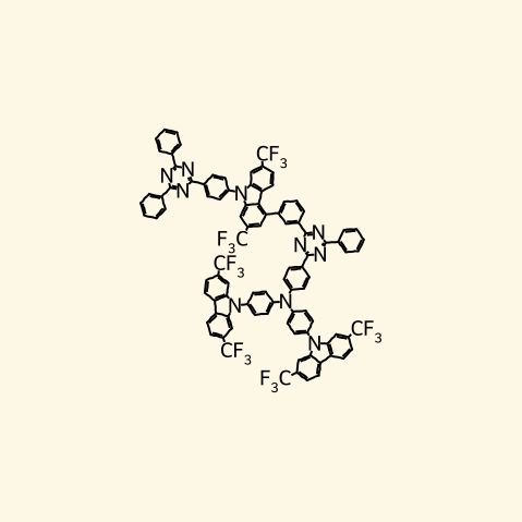 FC(F)(F)c1ccc2c3ccc(C(F)(F)F)cc3n(-c3ccc(N(c4ccc(-c5nc(-c6ccccc6)nc(-c6cccc(-c7cc(C(F)(F)F)cc8c7c7ccc(C(F)(F)F)cc7n8-c7ccc(-c8nc(-c9ccccc9)nc(-c9ccccc9)n8)cc7)c6)n5)cc4)c4ccc(-n5c6cc(C(F)(F)F)ccc6c6ccc(C(F)(F)F)cc65)cc4)cc3)c2c1